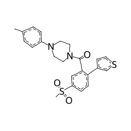 Cc1ccc(N2CCN(C(=O)c3cc(S(C)(=O)=O)ccc3-c3ccsc3)CC2)cc1